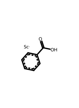 O=C(O)c1ccccc1.[Sc]